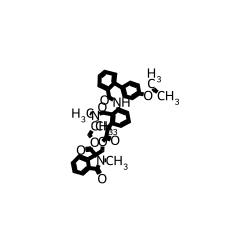 CCOC(=O)C1(COC(=O)Cc2cccc(NC(=O)c3ccccc3-c3ccc(OC(C)C)cc3)c2C(=O)N(C)C)c2ccccc2C(=O)N1C